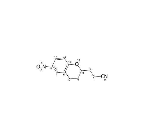 N#CCCC1CCc2cc([N+](=O)[O-])ccc2O1